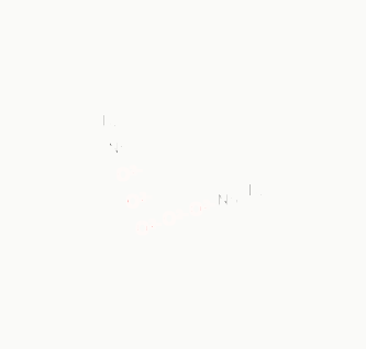 [Nb+5].[Nb+5].[O-2].[O-2].[O-2].[O-2].[O-2].[Ta].[Ta]